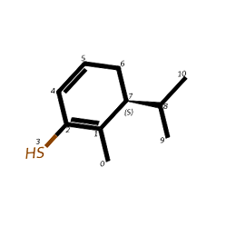 CC1=C(S)C=CC[C@H]1C(C)C